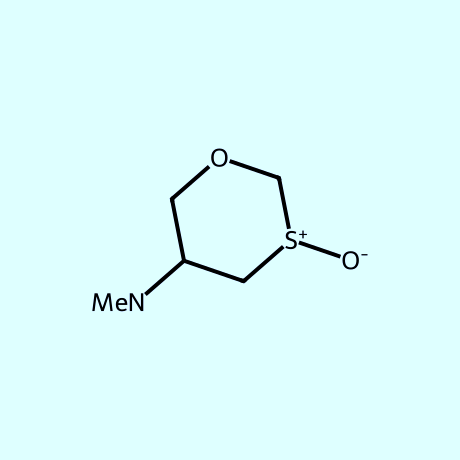 CNC1COC[S+]([O-])C1